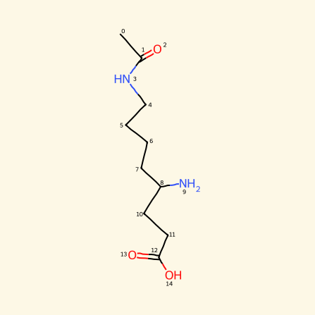 CC(=O)NCCCCC(N)CCC(=O)O